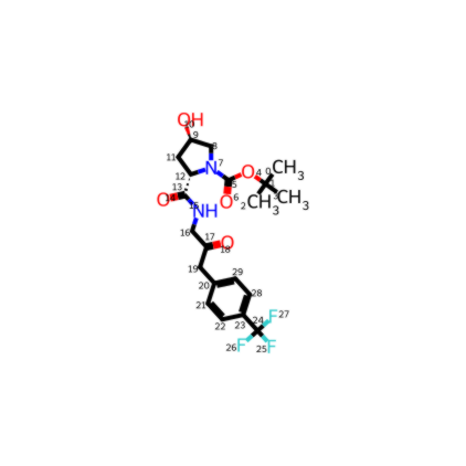 CC(C)(C)OC(=O)N1C[C@H](O)C[C@H]1C(=O)NCC(=O)Cc1ccc(C(F)(F)F)cc1